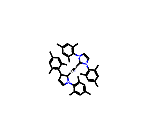 Cc1cc(C)c(C2C=CN(c3c(C)cc(C)cc3C)C2/B=B/C2N(c3c(C)cc(C)cc3C)C=CN2c2c(C)cc(C)cc2C)c(C)c1